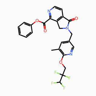 Cc1cc(CN2Cc3c(ccnc3C(=O)Oc3ccccc3)C2=O)cnc1OCC(F)(F)C(F)F